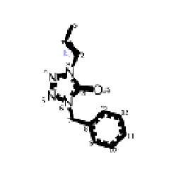 C/C=C/n1nnn(Cc2ccccc2)c1=O